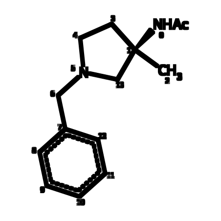 CC(=O)N[C@]1(C)CCN(Cc2ccccc2)C1